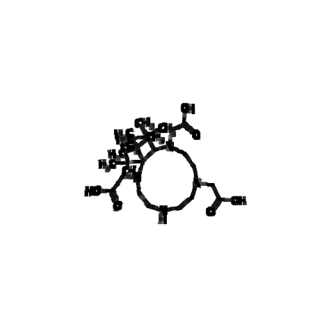 CC(C)(C)C1N(CC(=O)O)CCN(CC(=O)O)CCNCCN(CC(=O)O)C1(C(C)(C)C)C(C)(C)C